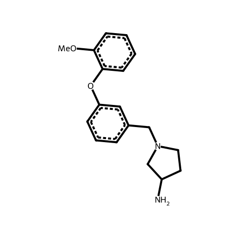 COc1ccccc1Oc1cccc(CN2CCC(N)C2)c1